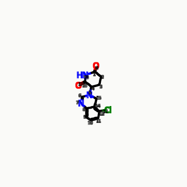 O=C1CCC(N2C=Nc3cccc(Cl)c3C2)C(=O)N1